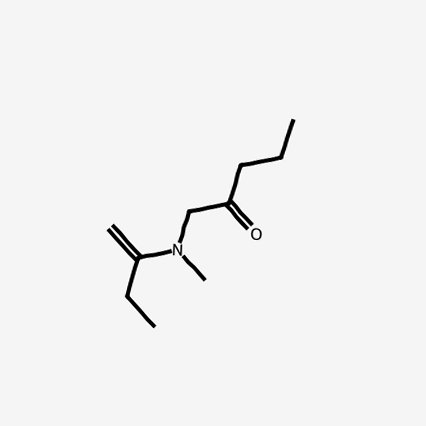 C=C(CC)N(C)CC(=O)CCC